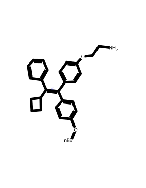 CCCCOc1ccc(/C(=C(/c2ccccc2)C2CCC2)c2ccc(OCCN)cc2)cc1